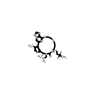 CCN1C(=O)N[C@@H](CCC(C)(F)F)CCOCCOc2nc(cn3ncnc23)-c2cc(ncc2C)[C@H]1C